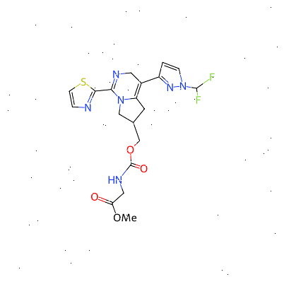 COC(=O)CNC(=O)OCC1CC2=C(c3ccn(C(F)F)n3)CN=C(c3nccs3)N2C1